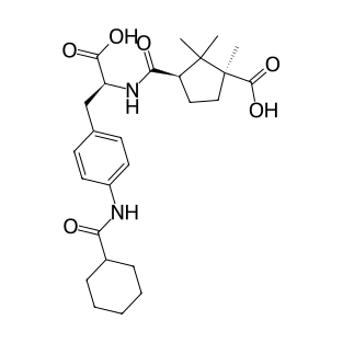 CC1(C)[C@H](C(=O)N[C@@H](Cc2ccc(NC(=O)C3CCCCC3)cc2)C(=O)O)CC[C@]1(C)C(=O)O